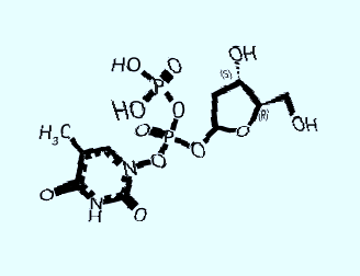 Cc1cn(OP(=O)(OC2C[C@H](O)[C@@H](CO)O2)OP(=O)(O)O)c(=O)[nH]c1=O